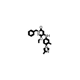 CCOc1nn(Cc2ccccc2)c(=O)cc1Nc1ccc(-n2cnc(C)c2)c(C)c1